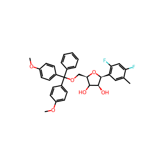 COc1ccc(C(OC[C@H]2O[C@@H](c3cc(C)c(F)cc3F)[C@@H](O)C2O)(c2ccccc2)c2ccc(OC)cc2)cc1